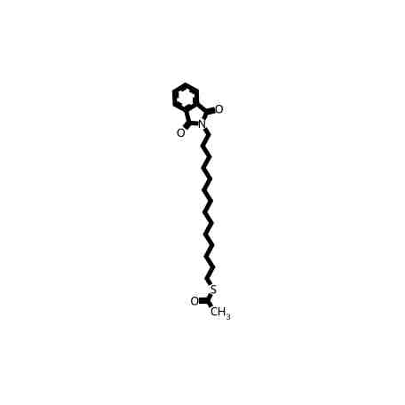 CC(=O)SCCCCCCCCCCCCCCN1C(=O)c2ccccc2C1=O